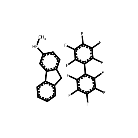 CPc1ccc2c(c1)-c1ccccc1C2.Fc1c(F)c(F)c(-c2c(F)c(F)c(F)c(F)c2F)c(F)c1F